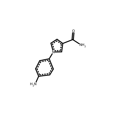 NC(=O)c1ccn(-c2ccc(N)cc2)c1